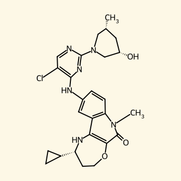 C[C@@H]1C[C@H](O)CN(c2ncc(Cl)c(Nc3ccc4c(c3)c3c(c(=O)n4C)OCC[C@H](C4CC4)N3)n2)C1